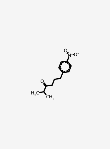 CC(C)C(=O)CCCc1ccc([N+](=O)[O-])cc1